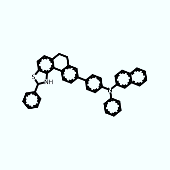 c1ccc(C2Nc3c(ccc4c3-c3ccc(-c5ccc(N(c6ccccc6)c6ccc7ccccc7c6)cc5)cc3CC4)S2)cc1